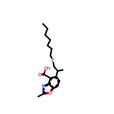 CCCCCCCCCC(C)c1ccc2oc(C)nc2c1C(=O)O